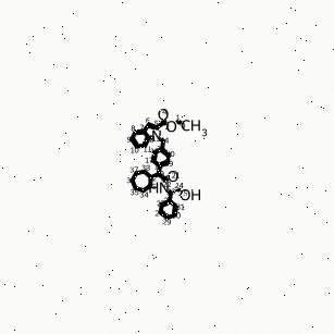 CCOC(=O)c1cc2ccccc2n1Cc1ccc(C(C(=O)N[C@@H](CO)c2ccccc2)C2CCCCCC2)cc1